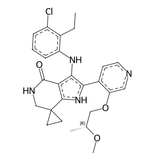 CCc1c(Cl)cccc1Nc1c(-c2ccncc2OC[C@@H](C)OC)[nH]c2c1C(=O)NCC21CC1